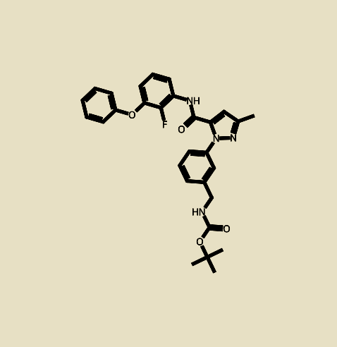 Cc1cc(C(=O)Nc2cccc(Oc3ccccc3)c2F)n(-c2cccc(CNC(=O)OC(C)(C)C)c2)n1